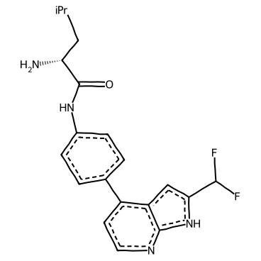 CC(C)C[C@@H](N)C(=O)Nc1ccc(-c2ccnc3[nH]c(C(F)F)cc23)cc1